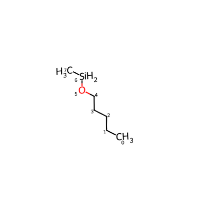 CCCCCO[SiH2]C